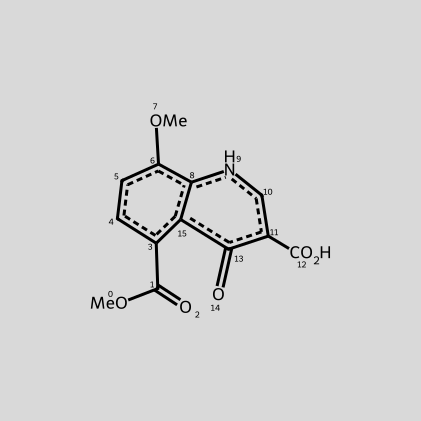 COC(=O)c1ccc(OC)c2[nH]cc(C(=O)O)c(=O)c12